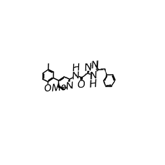 COc1ccc(C)cc1-c1ccnc(NC(=O)c2nnc(Cc3ccccc3)[nH]2)c1